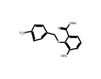 COC(=O)c1cccc(C=O)c1OCc1ccc([N+](=O)[O-])cc1